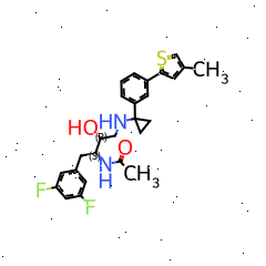 CC(=O)N[C@@H](Cc1cc(F)cc(F)c1)[C@H](O)CNC1(c2cccc(-c3cc(C)cs3)c2)CC1